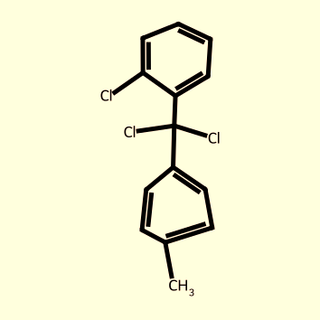 Cc1ccc(C(Cl)(Cl)c2ccccc2Cl)cc1